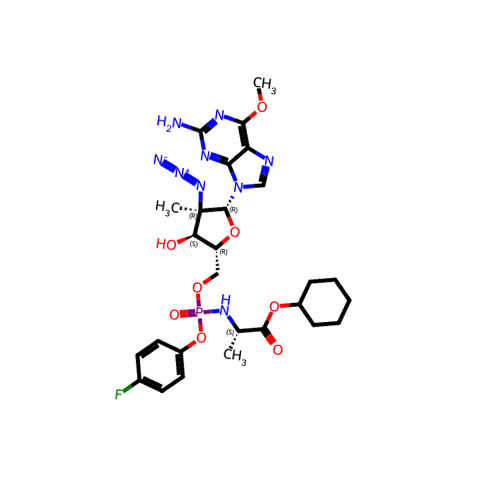 COc1nc(N)nc2c1ncn2[C@@H]1O[C@H](COP(=O)(N[C@@H](C)C(=O)OC2CCCCC2)Oc2ccc(F)cc2)[C@@H](O)[C@@]1(C)N=[N+]=[N-]